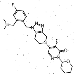 CN(C)Cc1cc(F)ccc1Cn1nnc2c1CCN(c1cnn(C3CCCCO3)c(=O)c1Cl)C2